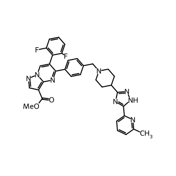 COC(=O)c1cnn2cc(-c3c(F)cccc3F)c(-c3ccc(CN4CCC(c5n[nH]c(-c6cccc(C)n6)n5)CC4)cc3)nc12